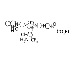 CCOC(=O)CCC(=O)N1CCN(C2CCN(C(=O)[C@@H](Cc3cc(Cl)c(N)c(C(F)(F)F)c3)OC(=O)N3CCC(N4CCc5ccccc5NC4=O)CC3)CC2)CC1